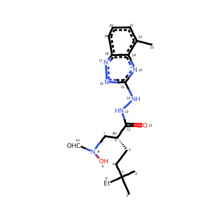 CCC(C)(C)CC[C@H](CN(O)C=O)C(=O)NNc1nnc2cccc(C)c2n1